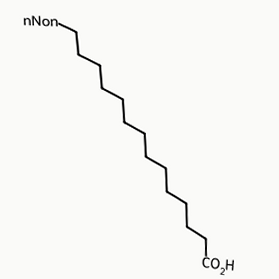 [CH2]CCCCCCCCCCCCCCCCCCCCCC(=O)O